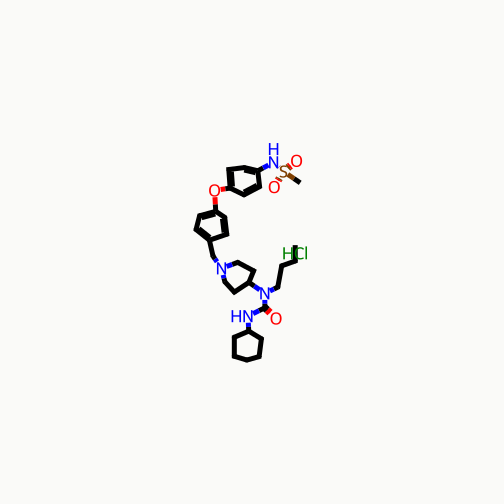 CCCCN(C(=O)NC1CCCCC1)C1CCN(Cc2ccc(Oc3ccc(NS(C)(=O)=O)cc3)cc2)CC1.Cl